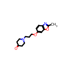 Cc1nc2ccc(OCCCN3CCC(=O)CC3)cc2o1